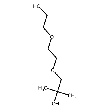 CC(C)(O)COCCOCCO